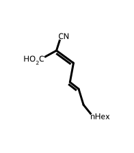 CCCCCCCC=CC=C(C#N)C(=O)O